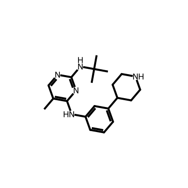 Cc1cnc(NC(C)(C)C)nc1Nc1cccc(C2CCNCC2)c1